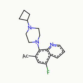 CC(=O)c1cc(F)c2cccnc2c1N1CCN(C2CCC2)CC1